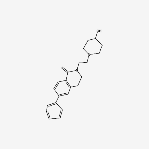 C=C1c2ccc(-c3ccccc3)cc2CCN1CCN1CCC(O)CC1